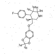 [2H]C1([2H])Oc2ccc(OC[C@@]3([2H])CNC([2H])([2H])C([2H])([2H])C3c3ccc(F)cc3)cc2O1